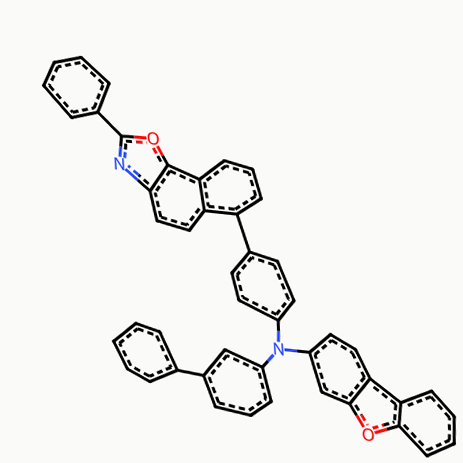 c1ccc(-c2cccc(N(c3ccc(-c4cccc5c4ccc4nc(-c6ccccc6)oc45)cc3)c3ccc4c(c3)oc3ccccc34)c2)cc1